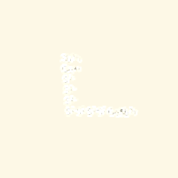 [Ge+4].[Ge+4].[S-2].[S-2].[S-2].[S-2].[S-2].[S-2].[S-2].[Sb+3].[Sb+3]